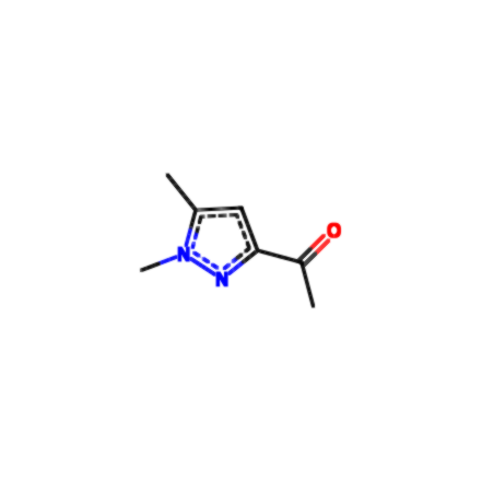 CC(=O)c1cc(C)n(C)n1